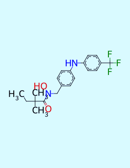 CCC(C)(C)C(=O)N(O)Cc1ccc(Nc2ccc(C(F)(F)F)cc2)cc1